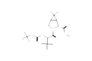 COC(=O)[C@@H]1C2C(CN1C(=O)C(NC(=O)NC(C)(C)C)C(C)(C)C)C2(C)C